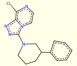 Clc1nccn2c(N3CCCC(c4ccccc4)C3)nnc12